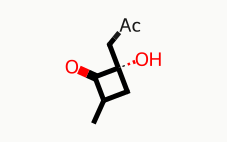 CC(=O)C[C@@]1(O)CC(C)C1=O